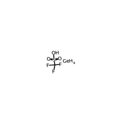 O=S(=O)(O)C(F)(F)F.[GeH4]